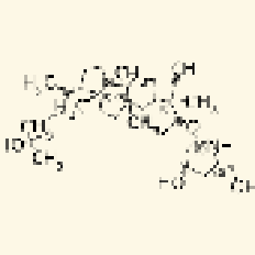 C#C[C@@]1(C)C2=CCC3[C@@](C)(CC[C@]4(C)C([C@H](C)CCCC(C)(C)O)CC[C@@]34C)C2CC[C@@H]1O[C@H]1C[C@@H](O)C[C@@H](CO)N1